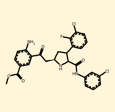 COC(=O)c1ccc(N)c(C(=O)C[C@H]2CC(c3cccc(Cl)c3F)C(C(=O)Nc3cccc(Cl)c3)N2)c1